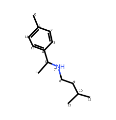 Cc1ccc(C(C)NCCC(C)C)cc1